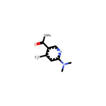 COC(=O)c1cnc(N(C)C)cc1C(F)(F)F